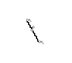 CCCCCCCCCOC(=O)CCCCCC